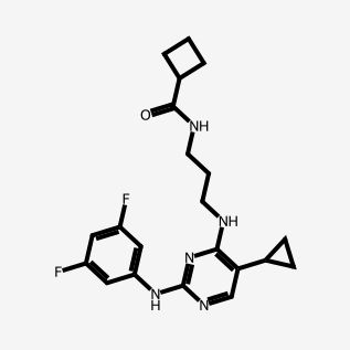 O=C(NCCCNc1nc(Nc2cc(F)cc(F)c2)ncc1C1CC1)C1CCC1